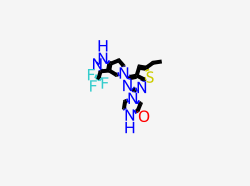 CCc1cc2c(N3CCc4[nH]nc(C(F)(F)F)c4C3)nc(N3CCNC(=O)C3)nc2s1